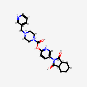 O=C(Oc1ccc(N2C(=O)C3CCCCC3C2=O)cn1)N1CCN(Cc2cccnc2)CC1